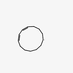 [CH]1CCCC=CC=CCCCCC1